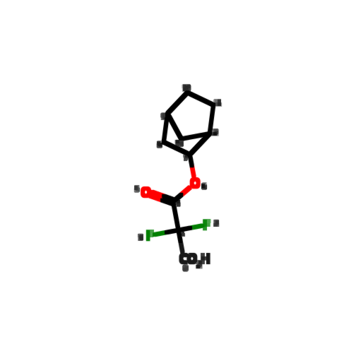 O=C(O)C(F)(F)C(=O)OC1CC2CCC1C2